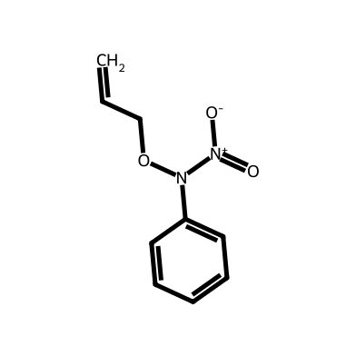 C=CCON(c1ccccc1)[N+](=O)[O-]